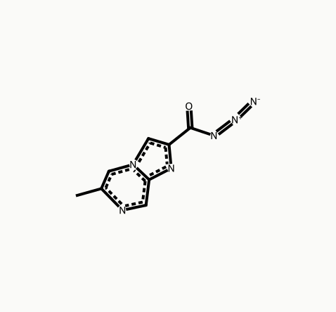 Cc1cn2cc(C(=O)N=[N+]=[N-])nc2cn1